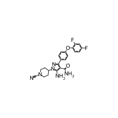 N#CN1CCC(n2nc(-c3ccc(Oc4ccc(F)cc4F)cc3)c(C(N)=O)c2N)CC1